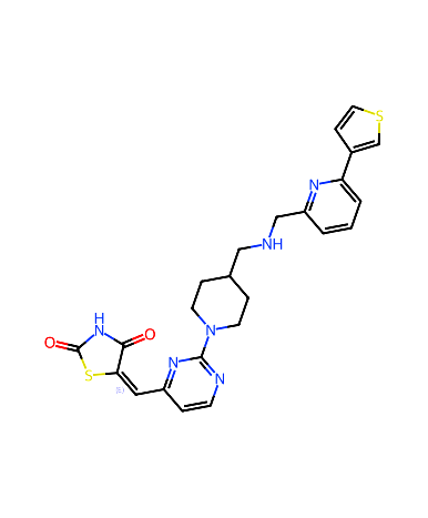 O=C1NC(=O)/C(=C\c2ccnc(N3CCC(CNCc4cccc(-c5ccsc5)n4)CC3)n2)S1